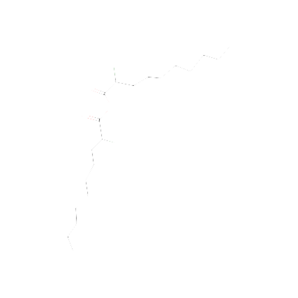 CCCCCCCCC(Cl)C(=O)OC(=O)C(Cl)CCCCCCCC